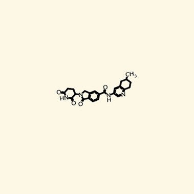 CC1CCc2ncc(NC(=O)c3ccc4c(c3)CN(C3CCC(=O)NC3=O)C4=O)cc2C1